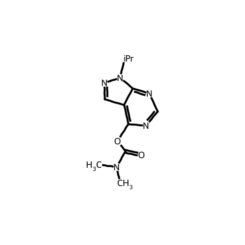 CC(C)n1ncc2c(OC(=O)N(C)C)ncnc21